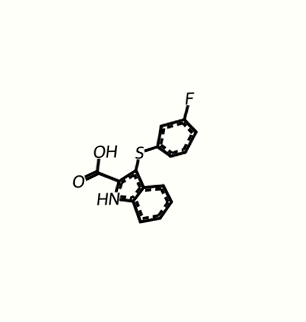 O=C(O)c1[nH]c2ccccc2c1Sc1cccc(F)c1